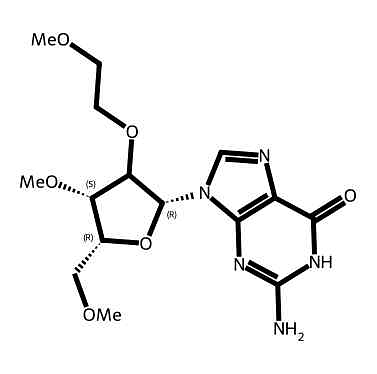 COCCOC1[C@@H](OC)[C@@H](COC)O[C@H]1n1cnc2c(=O)[nH]c(N)nc21